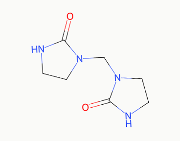 O=C1NCCN1CN1CCNC1=O